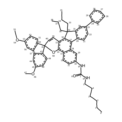 CCCCCCNC(=O)Nc1ccc2c3c(c4c(c2c1)-c1ccc(-c2ccccc2)cc1C4(CCC)CCC)C=CC(c1ccc(OC)cc1)(c1ccc(OC)cc1)O3